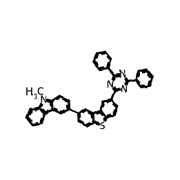 Cn1c2ccccc2c2cc(-c3ccc4sc5ccc(-c6nc(-c7ccccc7)nc(-c7ccccc7)n6)cc5c4c3)ccc21